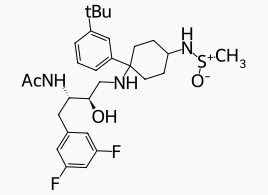 CC(=O)N[C@@H](Cc1cc(F)cc(F)c1)[C@H](O)CNC1(c2cccc(C(C)(C)C)c2)CCC(N[S+](C)[O-])CC1